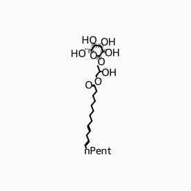 CCCCCC=CCC=CCCCCCCCC(=O)OCC(O)CO[C@@H]1O[C@H](CO)[C@H](O)[C@H](O)[C@H]1O